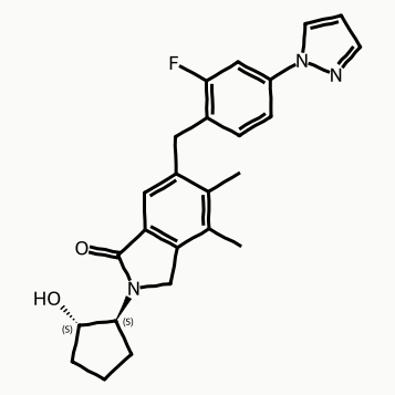 Cc1c(Cc2ccc(-n3cccn3)cc2F)cc2c(c1C)CN([C@H]1CCC[C@@H]1O)C2=O